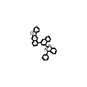 c1ccc(-c2nc(-c3cc(-c4cccc5cc6oc7ccccc7c6cc45)cc4ccccc34)nc3ccccc23)cc1